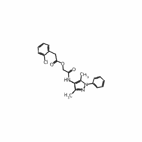 Cc1nn(-c2ccccc2)c(C)c1NC(=O)COC(=O)Cc1ccccc1Cl